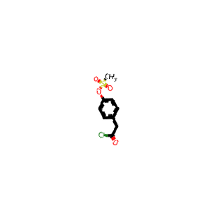 CS(=O)(=O)Oc1ccc(CC(=O)Cl)cc1